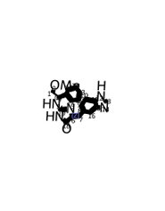 COC[C@H](NC1=N/C(=C\c2ccc3[nH]cnc3c2)C(=O)N1)c1ccccc1